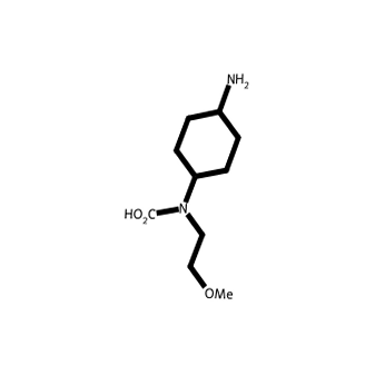 COCCN(C(=O)O)C1CCC(N)CC1